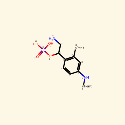 CCCCCNc1ccc(C(CN)OP(=O)(O)O)c(CCCCC)c1